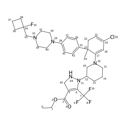 CCOC(=O)C1=C(C(F)(F)F)N(C2CCCN(C3=CC(Cl)=CCC3(C)c3ccc(N4CCN(CC5(F)CCC5)CC4)cc3)C2)NC1